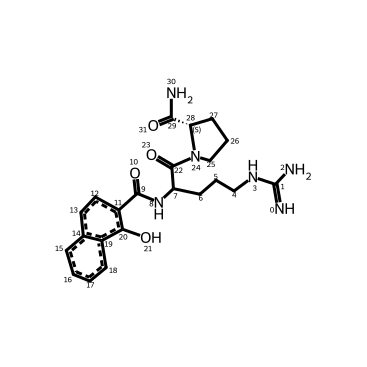 N=C(N)NCCCC(NC(=O)c1ccc2ccccc2c1O)C(=O)N1CCC[C@H]1C(N)=O